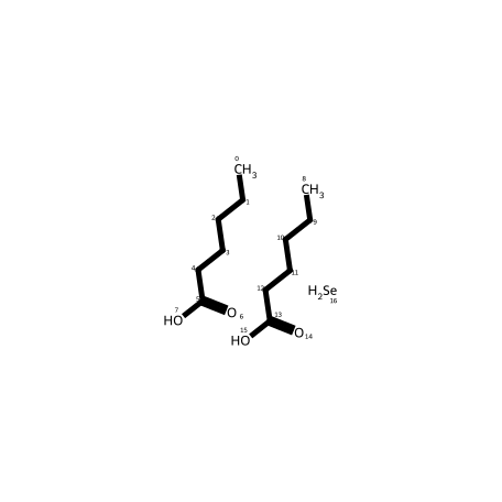 CCCCCC(=O)O.CCCCCC(=O)O.[SeH2]